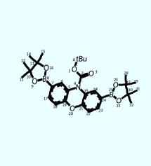 CC(C)(C)OC(=O)N1c2cc(B3OC(C)(C)C(C)(C)O3)ccc2Oc2ccc(B3OC(C)(C)C(C)(C)O3)cc21